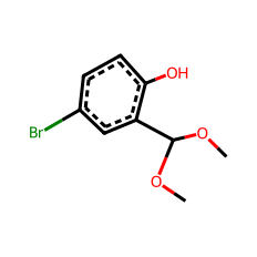 COC(OC)c1cc(Br)ccc1O